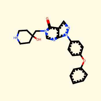 O=c1c2cnn(-c3ccc(Oc4ccccc4)cc3)c2ncn1CC1(O)CCNCC1